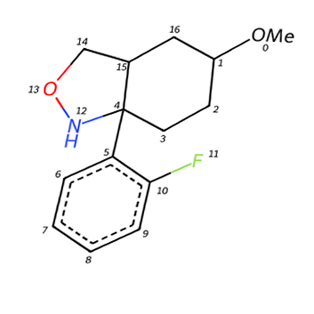 COC1CCC2(c3ccccc3F)NOCC2C1